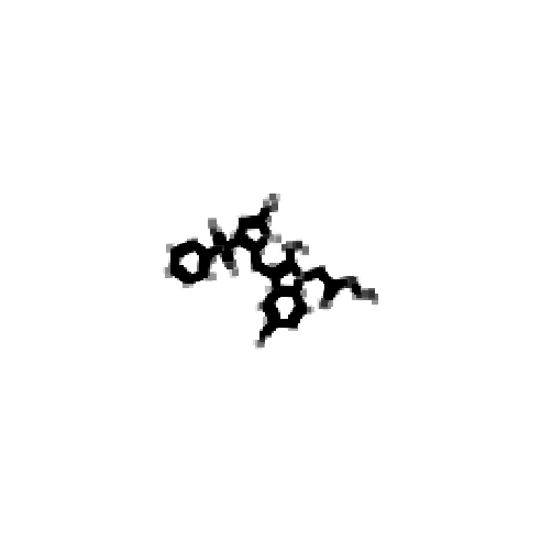 COC(=O)Cn1c(C)c(Cc2sc(Cl)cc2S(=O)(=O)c2ccccc2)c2cc(F)ccc21